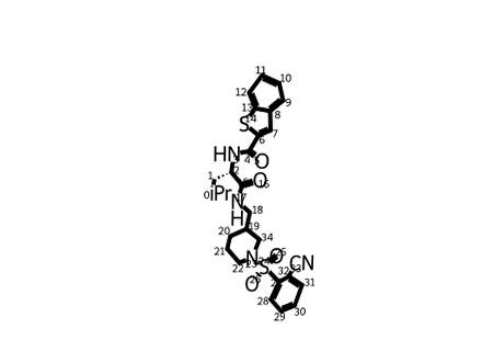 CC(C)C[C@H](NC(=O)c1cc2ccccc2s1)C(=O)NCC1CCCN(S(=O)(=O)c2ccccc2C#N)C1